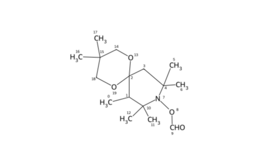 CC1C2(CC(C)(C)N(OC=O)C1(C)C)OCC(C)(C)CO2